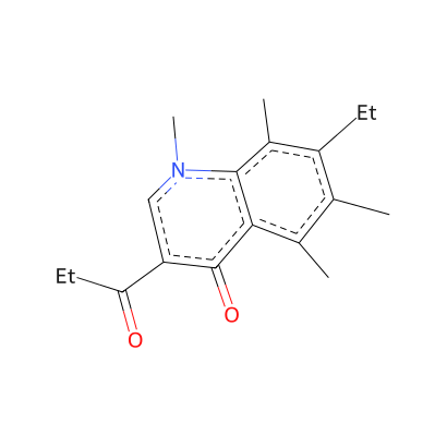 CCC(=O)c1cn(C)c2c(C)c(CC)c(C)c(C)c2c1=O